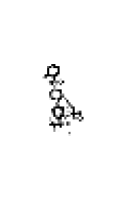 CC1(COC[C@H]2CN(S(=O)(=O)C3=CC=CCC3=S)CCN2c2ccc(C(C)(O)C(F)(F)F)cc2)COC1